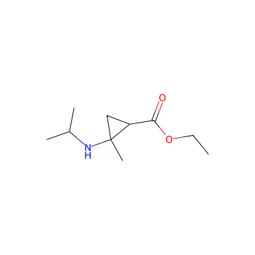 CCOC(=O)C1CC1(C)NC(C)C